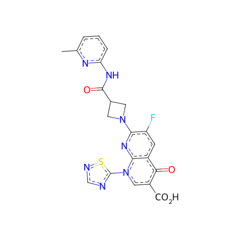 Cc1cccc(NC(=O)C2CN(c3nc4c(cc3F)c(=O)c(C(=O)O)cn4-c3ncns3)C2)n1